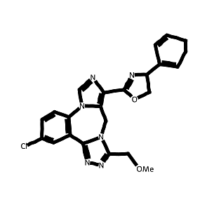 COCc1nnc2n1Cc1c(C3=NC(C4=CCCC=C4)CO3)ncn1-c1ccc(Cl)cc1-2